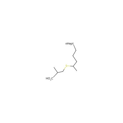 CCCCCCCCCCC(C)SCC(C)C(=O)O